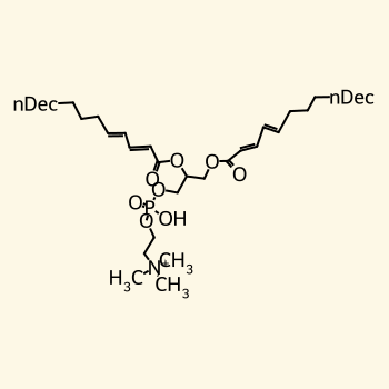 CCCCCCCCCCCCC/C=C/C=C/C(=O)OCC(COP(=O)(O)OCC[N+](C)(C)C)OC(=O)/C=C/C=C/CCCCCCCCCCCCC